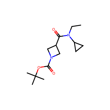 CCN(C(=O)C1CN(C(=O)OC(C)(C)C)C1)C1CC1